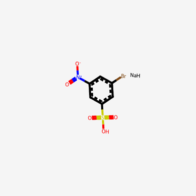 O=[N+]([O-])c1cc(Br)cc(S(=O)(=O)O)c1.[NaH]